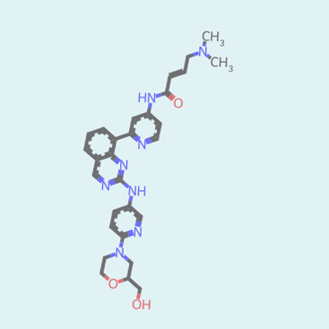 CN(C)CC=CC(=O)Nc1ccnc(-c2cccc3cnc(Nc4ccc(N5CCOC(CO)C5)nc4)nc23)c1